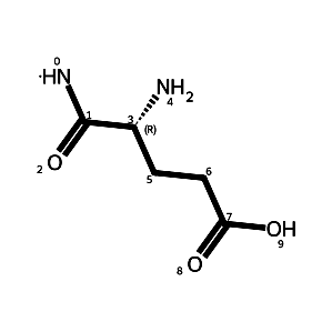 [NH]C(=O)[C@H](N)CCC(=O)O